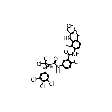 O=C(CC(F)(F)F)Nc1c(F)ccc(NC(=O)c2cc(NC(=O)[C@H]3[C@H](c4cc(Cl)c(Cl)c(Cl)c4)C3(Cl)Cl)ccc2Cl)c1F